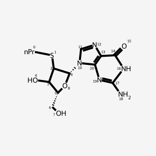 CCCSC1C(O)[C@@H](CO)O[C@H]1n1cnc2c(=O)[nH]c(N)nc21